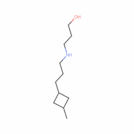 CC1CC(CCCNCCCO)C1